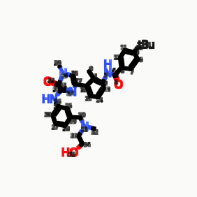 Cc1c(NC(=O)c2ccc(C(C)(C)C)cc2)cccc1-c1cn(C)c(=O)c(Nc2cccc(CN(C)CCO)c2)n1